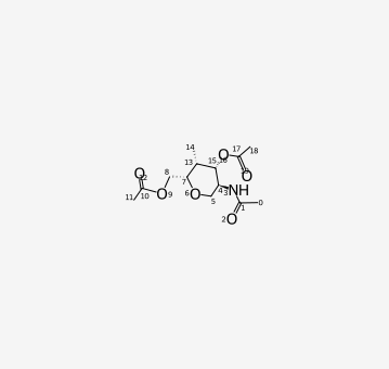 CC(=O)N[C@H]1CO[C@H](COC(C)=O)[C@H](C)[C@@H]1OC(C)=O